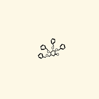 O=C1CC(COCc2ccccc2)[C@@H](OCc2ccccc2)[C@H](OCc2ccccc2)[C@H]1OCc1ccccc1